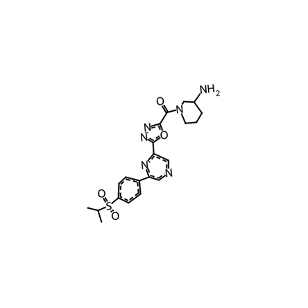 CC(C)S(=O)(=O)c1ccc(-c2cncc(-c3nnc(C(=O)N4CCCC(N)C4)o3)n2)cc1